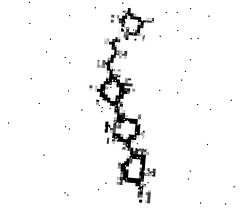 Clc1ccc(-c2ccc(-c3ccc(CCCN4CCCC4)cc3)nc2)cc1